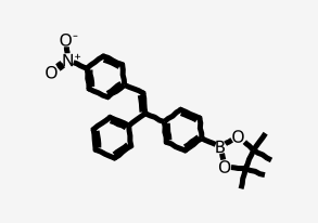 CC1(C)OB(c2ccc(/C(=C/c3ccc([N+](=O)[O-])cc3)c3ccccc3)cc2)OC1(C)C